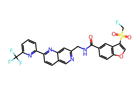 O=C(NCc1cc2nc(-c3cccc(C(F)(F)F)n3)ccc2cn1)c1ccc2occ(S(=O)(=O)CF)c2c1